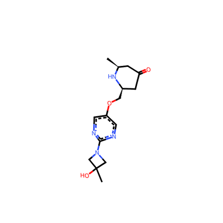 C[C@H]1CC(=O)C[C@@H](COc2cnc(N3CC(C)(O)C3)nc2)N1